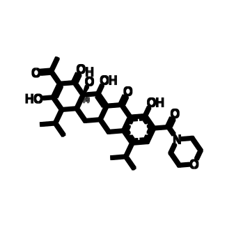 CC(=O)C1=C(O)C(C(C)C)C2CC3Cc4c(C(C)C)cc(C(=O)N5CCOCC5)c(O)c4C(=O)C3=C(O)[C@@]2(O)C1=O